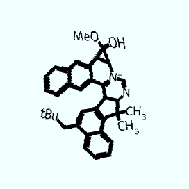 COC1(O)C2c3cc4ccccc4cc3C3=[N+](C=NC4C3c3cc(CC(C)(C)C)c5ccccc5c3C4(C)C)C21